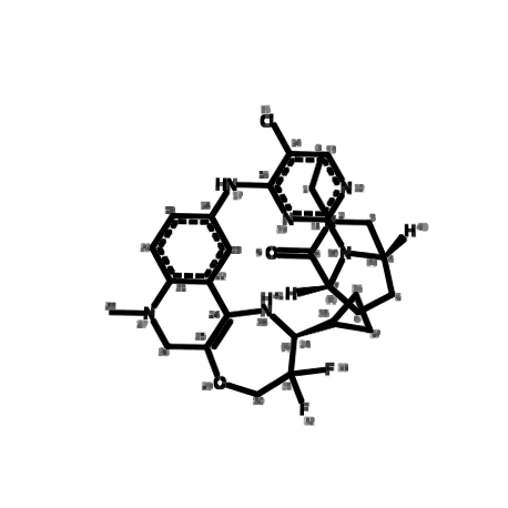 CCN1C[C@@H]2CC[C@H](C1=O)N2c1ncc(Cl)c(Nc2ccc3c(c2)C2=C(CN3C)OCC(F)(F)[C@H](C3CC3)N2)n1